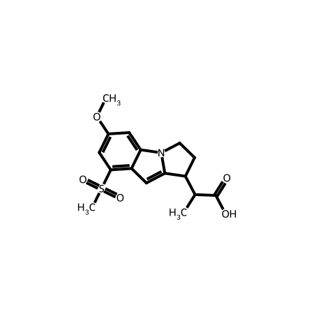 COc1cc(S(C)(=O)=O)c2cc3n(c2c1)CCC3C(C)C(=O)O